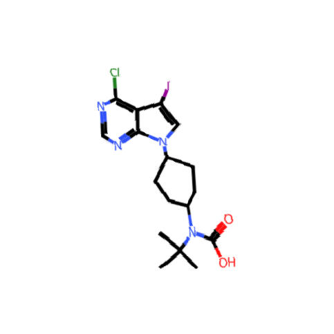 CC(C)(C)N(C(=O)O)C1CCC(n2cc(I)c3c(Cl)ncnc32)CC1